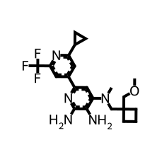 COCC1(CN(C)c2cc(-c3cc(C4CC4)nc(C(F)(F)F)c3)nc(N)c2N)CCC1